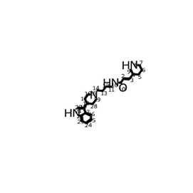 O=C(C=CC1CCCNC1)NCCCCN1CCC(c2c[nH]c3ccccc23)CC1